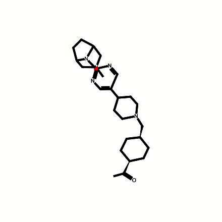 CC(=O)[C@H]1CC[C@@H](CN2CCC(c3cnc(N4C5CCC4CN(C)C5)nc3)CC2)CC1